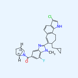 Cn1c(C2=Cc3ccc4c(Cl)c[nH]c4c3CCC2CC2CC2)nc2cc(C(=O)N3C[C@H]4CC[C@@H]3C4)cc(F)c21